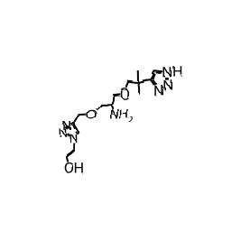 CC(C)(COCC(N)COCc1cn(CCO)nn1)c1c[nH]nn1